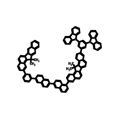 CC1(C)c2cc3ccccc3cc2-c2ccc3ccc(-c4cccc(-c5ccc6cc(-c7ccc8c(-c9ccc%10c%11c(ccc%10c9)-c9ccc%10cc(-c%12cc(-n%13c%14ccccc%14c%14ccccc%14%13)cc(-n%13c%14ccccc%14c%14ccccc%14%13)c%12)ccc%10c9C%11(C)C)cccc8c7)ccc6c5)c4)cc3c21